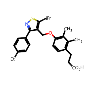 CCc1ccc(-c2nsc(C(C)C)c2COc2ccc(CCC(=O)O)c(C)c2C)cc1